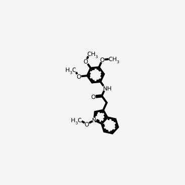 COc1cc(NC(=O)Cc2cn(OC)c3ccccc23)cc(OC)c1OC